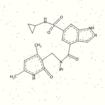 Cc1cc(C)c(CN(C(=O)c2cc(S(=O)(=O)NC3CC3)cc3[nH]ncc23)C(C)C)c(=O)[nH]1